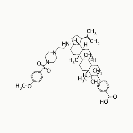 C=C(C)[C@@H]1CC[C@]2(NCCN3CCN(S(=O)(=O)c4ccc(OC)cc4)CC3)CC[C@]3(C)[C@H](CC[C@@H]4[C@@]5(C)CC=C(c6ccc(C(=O)O)cc6)C(C)(C)[C@@H]5CC[C@]43C)[C@@H]12